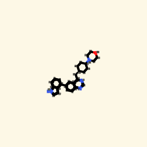 c1cc(-c2ccc3ncnc(C[C@H]4CC[C@H](N5CCOCC5)CC4)c3c2)c2cc[nH]c2c1